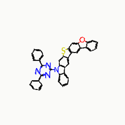 c1ccc(-c2nc(-c3ccccc3)nc(-n3c4ccccc4c4cc5c(cc43)sc3cc4oc6ccccc6c4cc35)n2)cc1